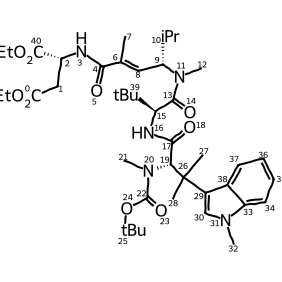 CCOC(=O)C[C@@H](NC(=O)/C(C)=C/[C@H](C(C)C)N(C)C(=O)[C@@H](NC(=O)[C@@H](N(C)C(=O)OC(C)(C)C)C(C)(C)c1cn(C)c2ccccc12)C(C)(C)C)C(=O)OCC